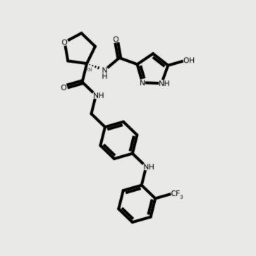 O=C(N[C@@]1(C(=O)NCc2ccc(Nc3ccccc3C(F)(F)F)cc2)CCOC1)c1cc(O)[nH]n1